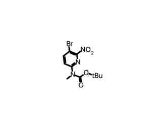 CN(C(=O)OC(C)(C)C)c1ccc(Br)c([N+](=O)[O-])n1